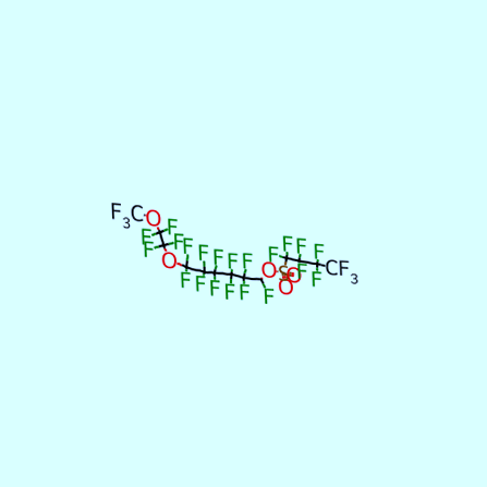 O=S(=O)(OC(F)C(F)(F)C(F)(F)C(F)(F)C(F)(F)C(F)(F)OC(F)(F)C(F)(F)OC(F)(F)F)C(F)(F)C(F)(F)C(F)(F)C(F)(F)F